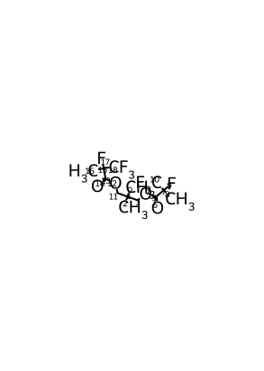 CC(C)(COC(=O)C(C)(F)C(F)(F)F)COC(=O)C(C)(F)C(F)(F)F